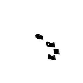 [As].[Ge].[Se].[Si]